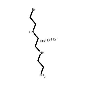 Br.Br.Br.NCCNCCNCCBr